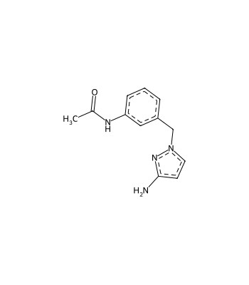 CC(=O)Nc1cccc(Cn2ccc(N)n2)c1